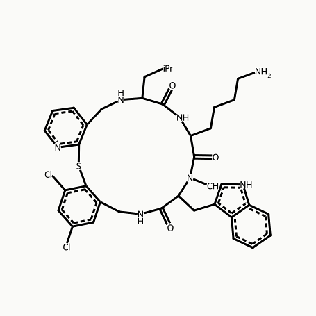 CC(C)CC1NCc2cccnc2Sc2c(Cl)cc(Cl)cc2CNC(=O)C(Cc2c[nH]c3ccccc23)N(C)C(=O)C(CCCCN)NC1=O